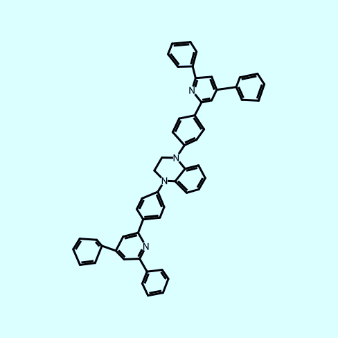 c1ccc(-c2cc(-c3ccccc3)nc(-c3ccc(N4CCN(c5ccc(-c6cc(-c7ccccc7)cc(-c7ccccc7)n6)cc5)c5ccccc54)cc3)c2)cc1